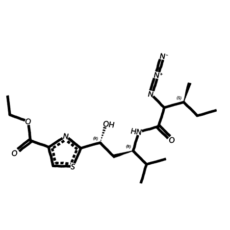 CCOC(=O)c1csc([C@H](O)C[C@@H](NC(=O)C(N=[N+]=[N-])[C@@H](C)CC)C(C)C)n1